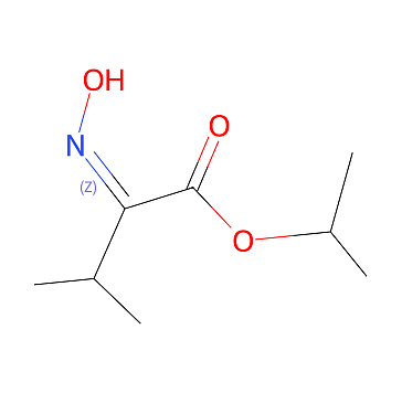 CC(C)OC(=O)/C(=N\O)C(C)C